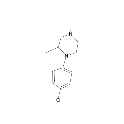 CC1CN(C)CCN1c1ccc(Cl)cc1